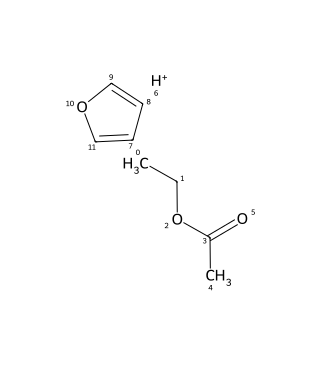 CCOC(C)=O.[H+].c1ccoc1